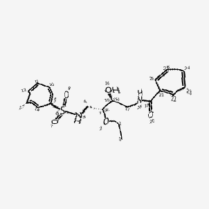 CCO[C@H](CNS(=O)(=O)c1ccccc1)[C@@H](O)CNC(=O)c1ccccc1